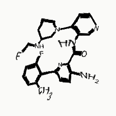 Cc1cccc(F)c1-c1ccc(N)c(C(=O)Nc2cnccc2N2CCC[C@H](NCF)C2)n1